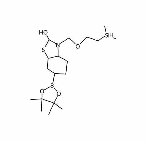 C[SiH](C)CCOCN1C(O)SC2CC(B3OC(C)(C)C(C)(C)O3)CCC21